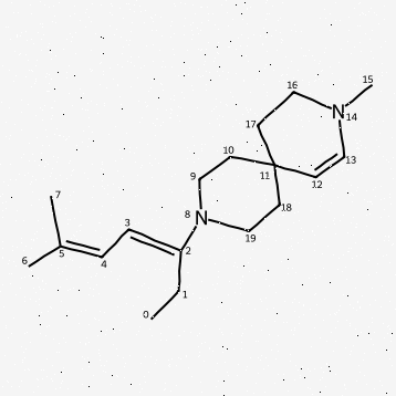 CC/C(=C\C=C(C)C)N1CCC2(C=CN(C)CC2)CC1